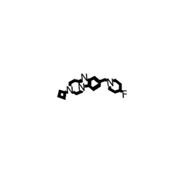 FC1CCN(Cc2ccc3c(c2)nc2n3CCN(C3CCC3)CC2)CC1